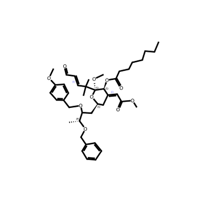 CCCCCCCC(=O)O[C@H]1/C(=C/C(=O)OC)C[C@@H](CC(OCc2ccc(OC)cc2)[C@@H](C)OCc2ccccc2)O[C@@]1(OC)C(C)(C)/C=C/C=O